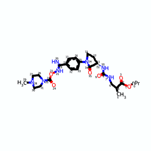 CCCOC(=O)C(C)CNC(=O)N[C@H]1CCN(c2ccc(C(=N)NOC(=O)N3CCN(C)CC3)cc2)C1=O